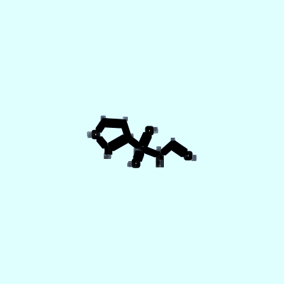 O=[C]NS(=O)(=O)c1ccon1